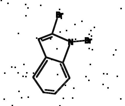 Brc1cc2ccccc2n1Br